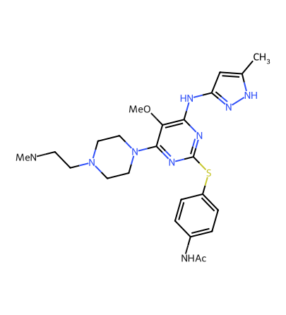 CNCCN1CCN(c2nc(Sc3ccc(NC(C)=O)cc3)nc(Nc3cc(C)[nH]n3)c2OC)CC1